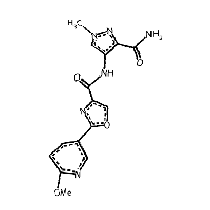 COc1ccc(-c2nc(C(=O)Nc3cn(C)nc3C(N)=O)co2)cn1